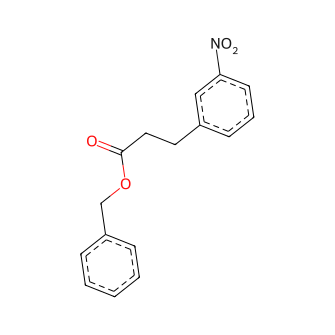 O=C(CCc1cccc([N+](=O)[O-])c1)OCc1ccccc1